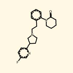 O=C1CCCCN1c1ccccc1CCN1CCC(c2ccc(F)cn2)C1